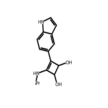 CC(C)NC1=C(c2ccc3[nH]ccc3c2)C(O)C1O